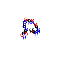 O=C1CCC(c2ccnc(N3CCC(CN4CCN(C(=O)C5CCC(C(=O)NCCOc6ccc(-c7cc(Nc8ccc(OC(F)(F)F)cc8)ncn7)cc6)CC5)CC4)CC3)c2)C(=O)N1